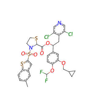 Cc1ccc2sc(S(=O)(=O)N3CCSC3C(=O)OC(Cc3c(Cl)cncc3Cl)c3ccc(OC(F)F)c(OCC4CC4)c3)cc2c1